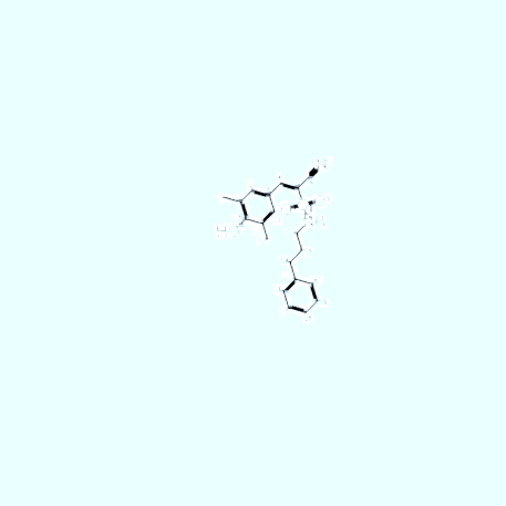 Cc1cc(C=C(C#N)S(=O)(=O)NCCCc2ccccc2)cc(C)c1O